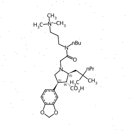 CCCCN(CCC[N+](C)(C)C)C(=O)CN1C[C@H](c2ccc3c(c2)OCO3)[C@@H](C(=O)O)[C@@H]1CC(C)(C)CCC